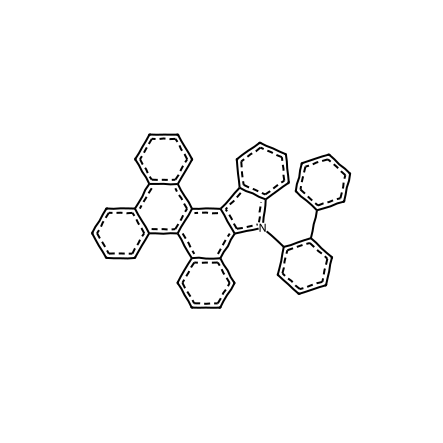 c1ccc(-c2ccccc2-n2c3ccccc3c3c4c5ccccc5c5ccccc5c4c4ccccc4c32)cc1